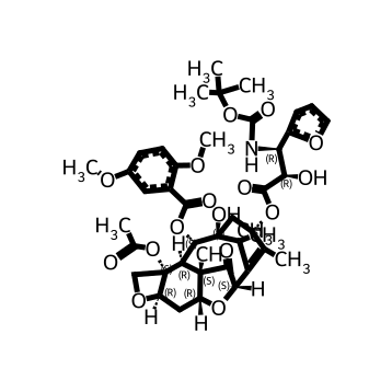 COc1ccc(OC)c(C(=O)O[C@H]2[C@@H]3[C@]4(OC(C)=O)CO[C@@H]4C[C@H]4O[C@H](C(=O)[C@@]34C)C3=C(C)[C@@H](OC(=O)[C@H](O)[C@@H](NC(=O)OC(C)(C)C)c4ccco4)C[C@]2(O)C3(C)C)c1